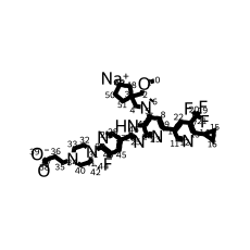 COCC1(CN(C)c2cc(-c3cnc(C4CC4)c(C(F)(F)F)c3)nc3nc(-c4cnc(N5CCN(CCC(=O)[O-])C[C@H]5C)c(F)c4)[nH]c23)CCCC1.[Na+]